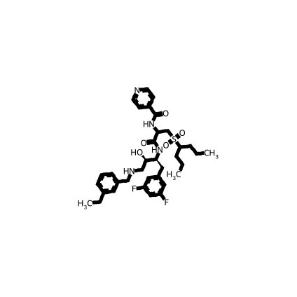 CCCC(CCC)S(=O)(=O)CC(NC(=O)c1ccncc1)C(=O)N[C@@H](Cc1cc(F)cc(F)c1)[C@H](O)CNCc1cccc(CC)c1